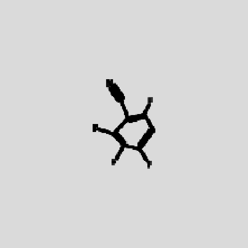 N#Cc1c(F)cc(F)c(F)c1F